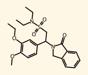 CCOc1cc(C(CS(=O)(=O)N(CC)CC)N2Cc3ccccc3C2=O)ccc1OC